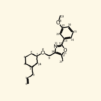 C=CCC1CCCC(OCc2nc(-c3cccc(OC)c3)oc2C)C1